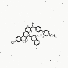 CN1CCN(c2ccc(Nc3ncc4cc(-c5ccc(Cl)cc5Cl)c(=O)n(C5Cc6ccccc6N(C)C5)c4n3)cc2)CC1